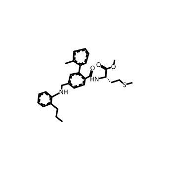 CCCc1ccccc1NCc1ccc(C(=O)N[C@@H](CCSC)C(=O)OC)c(-c2ccccc2C)c1